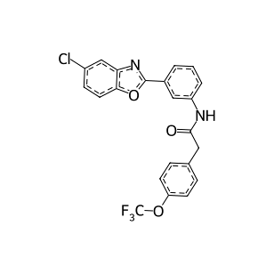 O=C(Cc1ccc(OC(F)(F)F)cc1)Nc1cccc(-c2nc3cc(Cl)ccc3o2)c1